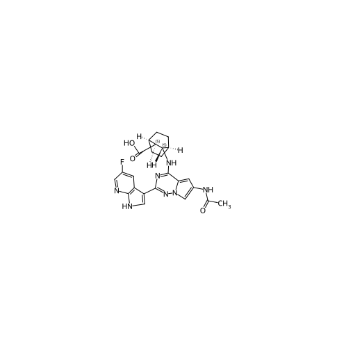 CC(=O)Nc1cc2c(N[C@H]3[C@H]4CC[C@H](CC4)[C@@H]3C(=O)O)nc(-c3c[nH]c4ncc(F)cc34)nn2c1